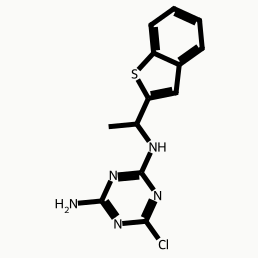 CC(Nc1nc(N)nc(Cl)n1)c1cc2ccccc2s1